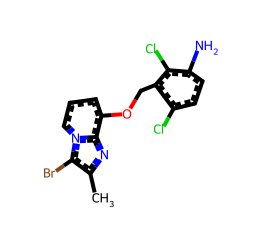 Cc1nc2c(OCc3c(Cl)ccc(N)c3Cl)cccn2c1Br